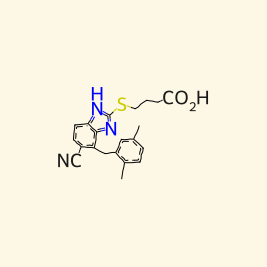 Cc1ccc(C)c(Cc2c(C#N)ccc3[nH]c(SCCCC(=O)O)nc23)c1